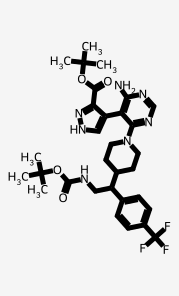 CC(C)(C)OC(=O)NCC(c1ccc(C(F)(F)F)cc1)C1CCN(c2ncnc(N)c2-c2c[nH]nc2C(=O)OC(C)(C)C)CC1